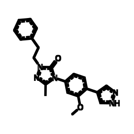 COc1cc(-n2c(C)nn(CCc3ccccc3)c2=O)ccc1-c1cn[nH]c1